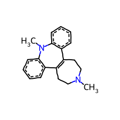 CN1CCC2=C(CC1)c1ccccc1N(C)c1ccccc12